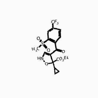 CCOC(=O)C1(C2CC2)ONC=C1C(=O)c1ccc(C(F)(F)F)cc1S(C)(=O)=O